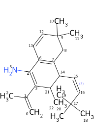 C=C(C)C1=C(N)C2=C(CC(C)(C)C=C2)C(/C=C\C(C)(C)C)C1C